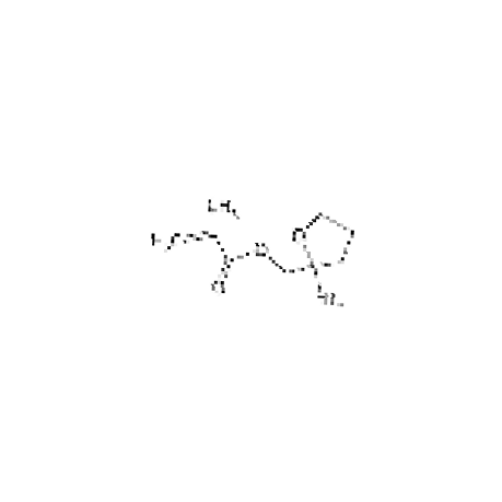 C=C(C)C(=O)OCC1(C(C)(C)C)CCCO1